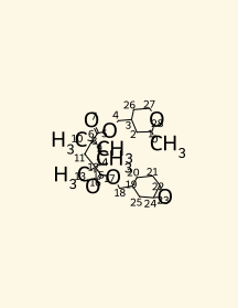 CC1CC(COC(=O)C(C)(C)CC(C)(C)C(=O)OCC2CCC3OC3C2)CCO1